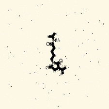 CC(C)NC(=O)CCCCN1C(=O)CC(C(C)C)C1=O